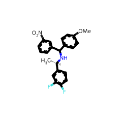 COc1ccc(C(N[C@@H](C)c2ccc(F)c(F)c2)c2cccc([N+](=O)[O-])c2)cc1